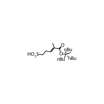 CCCCP(C)(CCCC)(CCCC)OC(=O)C(C)=CCCS(=O)(=O)O